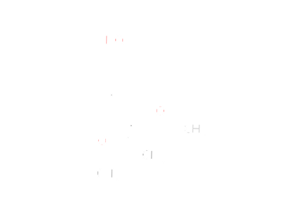 COC(C)(CCO)OC